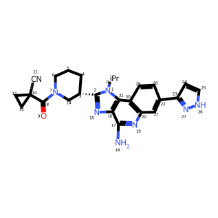 CC(C)n1c([C@H]2CCCN(C(=O)C3(C#N)CC3)C2)nc2c(N)nc3cc(-c4cc[nH]n4)ccc3c21